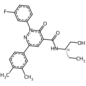 CC[C@@H](CO)NC(=O)c1cc(-c2ccc(C)c(C)c2)nn(-c2cccc(F)c2)c1=O